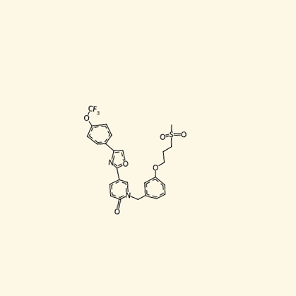 CS(=O)(=O)CCCOc1cccc(Cn2cc(-c3nc(-c4ccc(OC(F)(F)F)cc4)co3)ccc2=O)c1